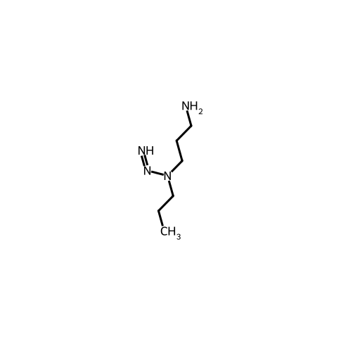 CCCN(CCCN)N=N